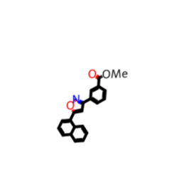 COC(=O)c1cccc(-c2cc(C3=CC=CC4C=CC=CC34)on2)c1